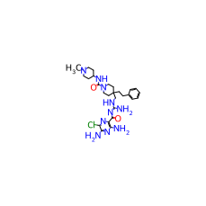 CN1CCC(NC(=O)N2CCC(CCc3ccccc3)(CN/C(N)=N/C(=O)c3nc(Cl)c(N)nc3N)CC2)CC1